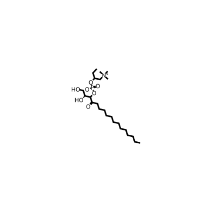 CCCCCCCCCCCCCC(=O)C(OP(=O)([O-])OC(CC)C[N+](C)(C)C)[C@@H](O)CO